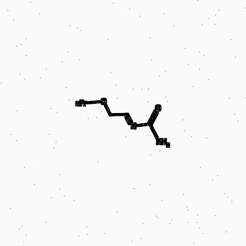 CCCOCC=NC(N)=O